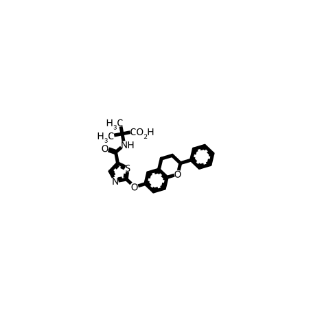 CC(C)(NC(=O)c1cnc(Oc2ccc3c(c2)CCC(c2ccccc2)O3)s1)C(=O)O